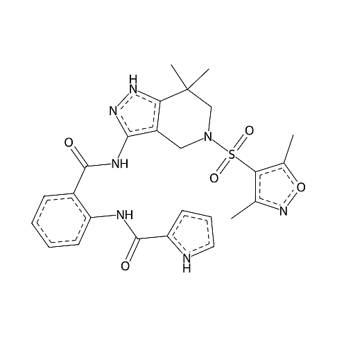 Cc1noc(C)c1S(=O)(=O)N1Cc2c(NC(=O)c3ccccc3NC(=O)c3ccc[nH]3)n[nH]c2C(C)(C)C1